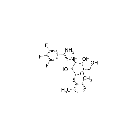 Cc1cccc(C)c1SC1OC(CO)C(O)C(N/C=C(\N)c2cc(F)c(F)c(F)c2)C1O